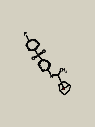 CC(=Nc1ccc(S(=O)(=O)c2ccc(F)cc2)cc1)N1CC2CCC(CC2)C1